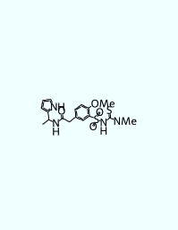 CNC(=S)NS(=O)(=O)c1cc(CC(=O)NC(C)c2ccc[nH]2)ccc1OC